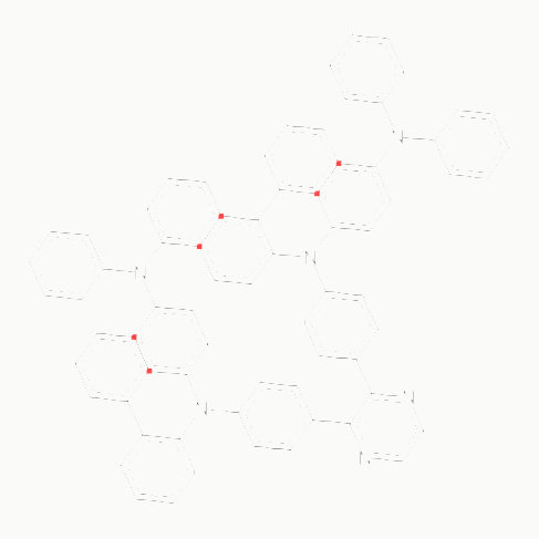 c1ccc(-c2ccccc2N(c2ccc(-c3nccnc3-c3ccc(N(c4ccc(N(c5ccccc5)c5ccccc5)cc4)c4ccccc4-c4ccccc4)cc3)cc2)c2ccc(N(c3ccccc3)c3ccccc3)cc2)cc1